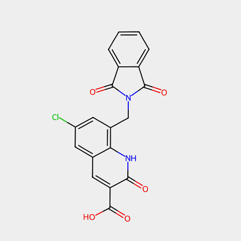 O=C(O)c1cc2cc(Cl)cc(CN3C(=O)c4ccccc4C3=O)c2[nH]c1=O